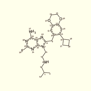 CC(C)CNCCn1c(Cc2cc3c(cc2C2CCC2)OCCO3)nc2c(N)nc(F)nc21